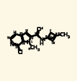 Cn1c(C(=O)NC23CC(C)(C2)C3)cc2ccnc(Cl)c21